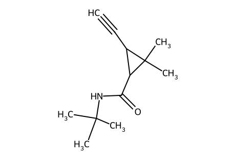 C#CC1C(C(=O)NC(C)(C)C)C1(C)C